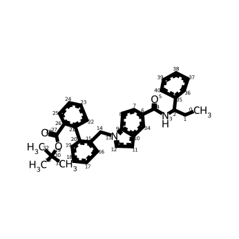 CCC(NC(=O)c1ccc2c(ccn2Cc2ccccc2-c2ccccc2C(=O)OC(C)(C)C)c1)c1ccccc1